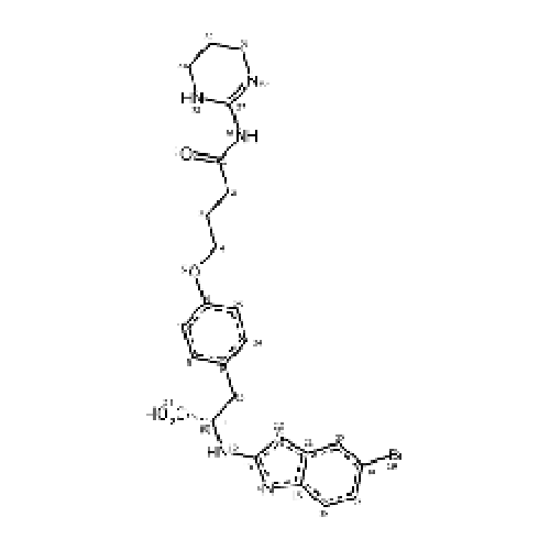 O=C(CCCOc1ccc(C[C@H](Nc2nc3ccc(Br)cc3s2)C(=O)O)cc1)NC1=NCCCN1